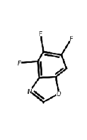 Fc1cc2o[c]nc2c(F)c1F